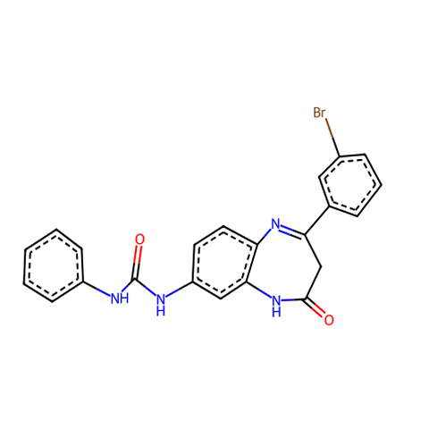 O=C1CC(c2cccc(Br)c2)=Nc2ccc(NC(=O)Nc3ccccc3)cc2N1